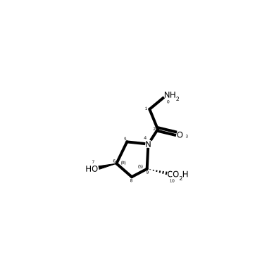 NCC(=O)N1C[C@H](O)C[C@H]1C(=O)O